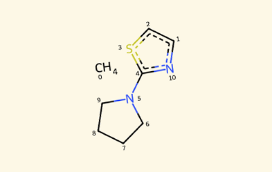 C.c1csc(N2CCCC2)n1